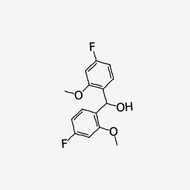 COc1cc(F)ccc1C(O)c1ccc(F)cc1OC